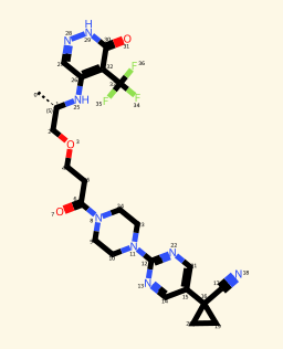 C[C@@H](COCCC(=O)N1CCN(c2ncc(C3(C#N)CC3)cn2)CC1)Nc1cn[nH]c(=O)c1C(F)(F)F